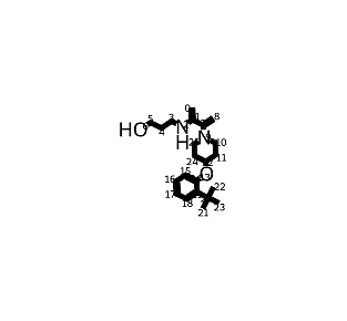 C=C(NCCCO)C(=C)N1CCC(Oc2ccccc2C(C)(C)C)CC1